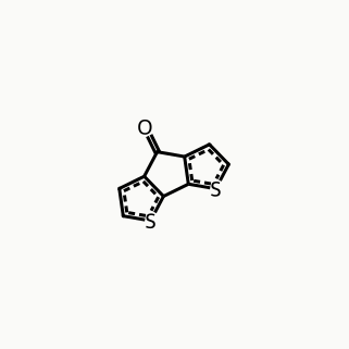 O=C1c2ccsc2-c2sccc21